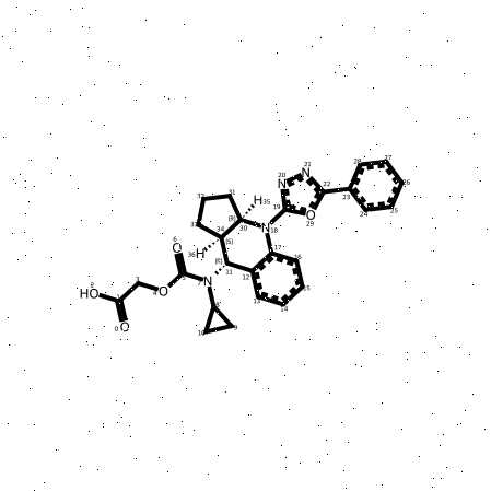 O=C(O)COC(=O)N(C1CC1)[C@H]1c2ccccc2N(c2nnc(-c3ccccc3)o2)[C@@H]2CCC[C@@H]21